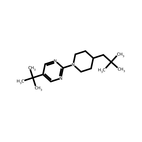 CC(C)(C)CC1CCN(c2ncc(C(C)(C)C)cn2)CC1